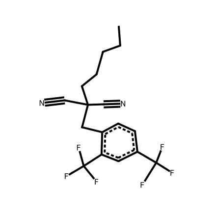 CCCCCC(C#N)(C#N)Cc1ccc(C(F)(F)F)cc1C(F)(F)F